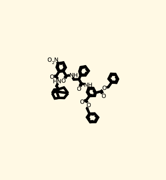 O=C(OCc1ccccc1)c1cc(NC(=O)C(CNC(=O)c2ccc([N+](=O)[O-])cc2C(=O)NCC23CC4CC(CC(C4)C2)C3)c2ccccc2)cc(C(=O)OCc2ccccc2)c1